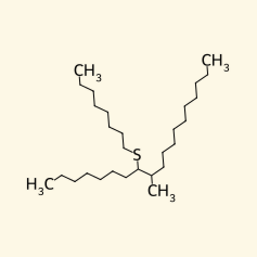 CCCCCCCCCCC(C)C(CCCCCCC)SCCCCCCCC